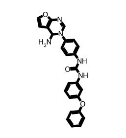 NC1c2ccoc2N=CN1c1ccc(NC(=O)Nc2cccc(Oc3ccccc3)c2)cc1